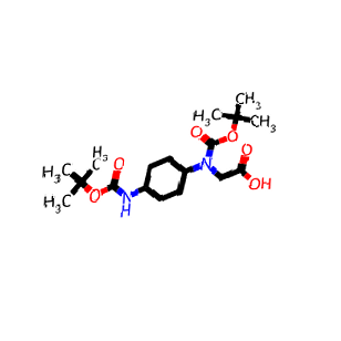 CC(C)(C)OC(=O)NC1CCC(N(CC(=O)O)C(=O)OC(C)(C)C)CC1